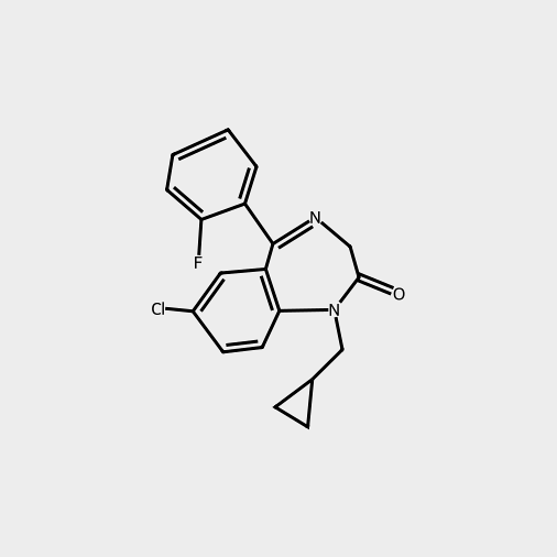 O=C1CN=C(c2ccccc2F)c2cc(Cl)ccc2N1CC1CC1